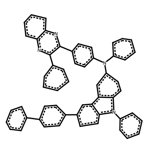 c1ccc(-c2ccc(-c3ccc4c(c3)c3cc(N(c5ccccc5)c5ccc(-c6nc7ccccc7nc6-c6ccccc6)cc5)ccc3n4-c3ccccc3)cc2)cc1